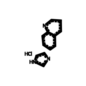 Cl.c1c[nH]cn1.c1ccc2ncccc2c1